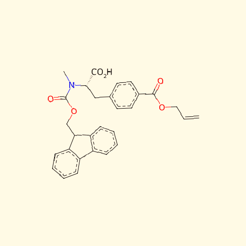 C=CCOC(=O)c1ccc(C[C@@H](C(=O)O)N(C)C(=O)OCC2c3ccccc3-c3ccccc32)cc1